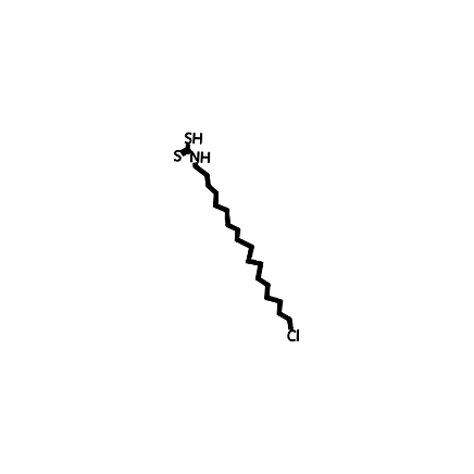 S=C(S)NCCCCCCCCCCCCCCCCCCCl